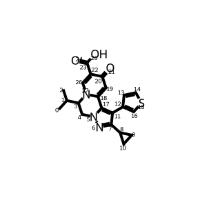 CC(C)C1Cn2nc(C3CC3)c(-c3ccsc3)c2-c2cc(=O)c(C(=O)O)cn21